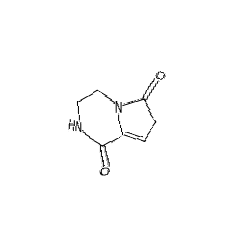 O=C1NCCN2C(=O)CC=C12